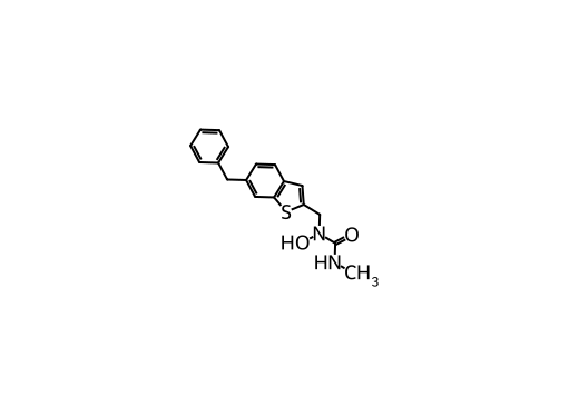 CNC(=O)N(O)Cc1cc2ccc(Cc3ccccc3)cc2s1